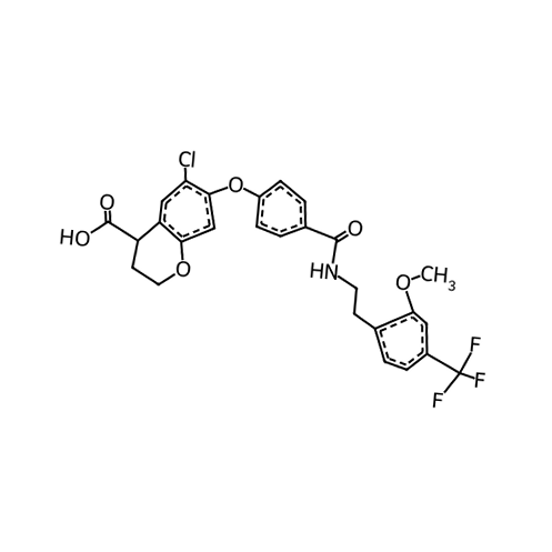 COc1cc(C(F)(F)F)ccc1CCNC(=O)c1ccc(Oc2cc3c(cc2Cl)C(C(=O)O)CCO3)cc1